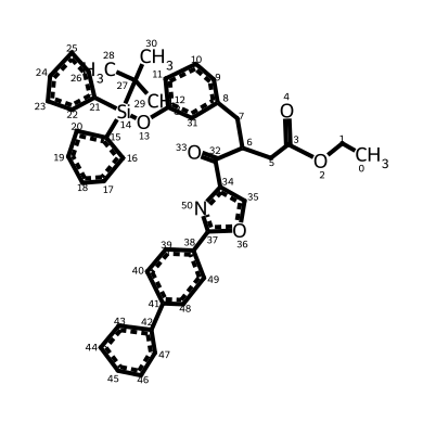 CCOC(=O)CC(Cc1cccc(O[Si](c2ccccc2)(c2ccccc2)C(C)(C)C)c1)C(=O)c1coc(-c2ccc(-c3ccccc3)cc2)n1